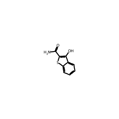 NC(=O)c1sc2ccccc2c1O